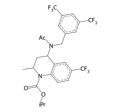 CC(=O)N(Cc1cc(C(F)(F)F)cc(C(F)(F)F)c1)C1CC(C)N(C(=O)OC(C)C)c2ccc(C(F)(F)F)cc21